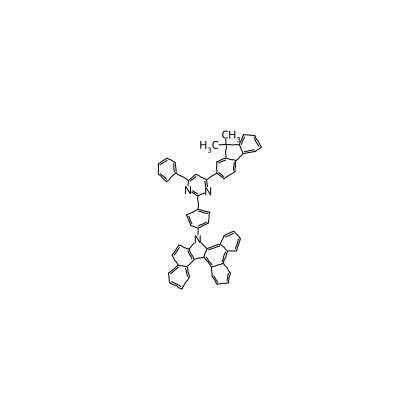 CC1(C)c2ccccc2-c2ccc(-c3cc(-c4ccccc4)nc(-c4ccc(-n5c6ccc7ccccc7c6c6c7ccccc7c7ccccc7c65)cc4)n3)cc21